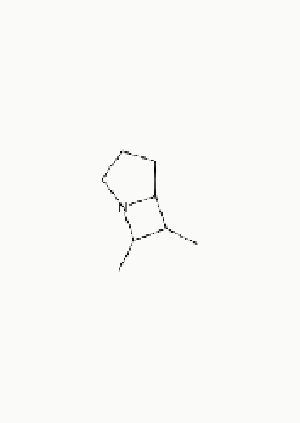 CC1C(C)N2CCCC12